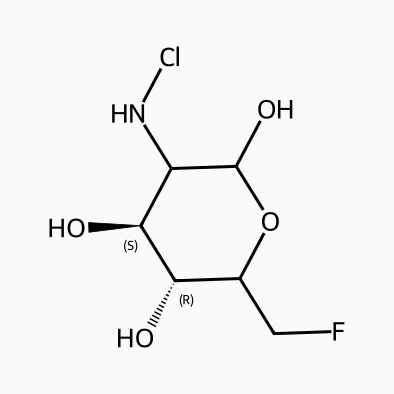 OC1OC(CF)[C@H](O)[C@@H](O)C1NCl